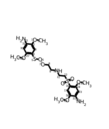 COc1cc(SOOCCNCCS(=O)(=O)c2cc(OC)c(N)cc2OC)c(OC)cc1N